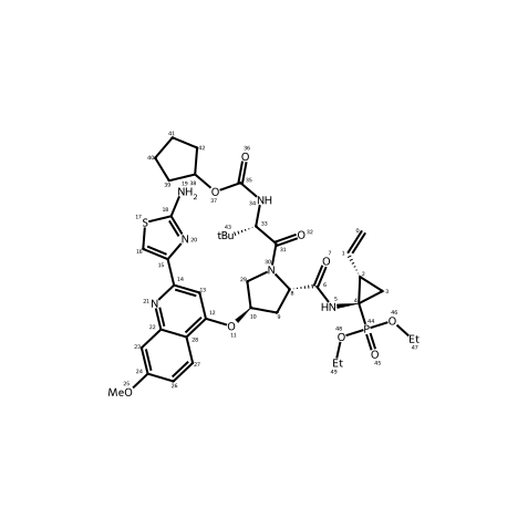 C=C[C@@H]1C[C@]1(NC(=O)[C@@H]1C[C@@H](Oc2cc(-c3csc(N)n3)nc3cc(OC)ccc23)CN1C(=O)[C@@H](NC(=O)OC1CCCC1)C(C)(C)C)P(=O)(OCC)OCC